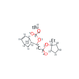 CCC1(OC(=O)CC(OC(=O)OC(C)(C)C)C2CC3C=CC2C3)CCCC1